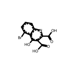 O=C(O)c1nc2cccc(Br)c2c(O)c1C(=O)O